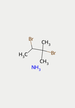 CC(Br)C(C)(C)Br.N